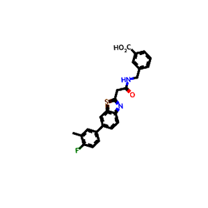 Cc1cc(-c2ccc3nc(CC(=O)NCc4cccc(C(=O)O)c4)sc3c2)ccc1F